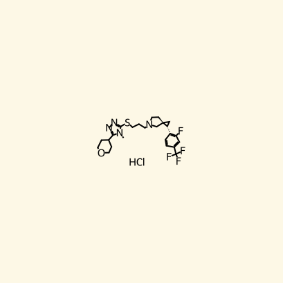 Cl.Cn1c(SCCCN2CC[C@]3(C[C@@H]3c3ccc(C(F)(F)F)cc3F)C2)nnc1C1CCOCC1